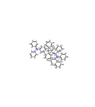 c1ccc(N(c2ccccc2)c2ccc3c(c2)-c2ccccc2C32c3ccccc3-c3c2cc(N(c2ccccc2)c2cccc4ccccc24)c2ccccc32)cc1